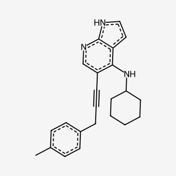 Cc1ccc(CC#Cc2cnc3[nH]ccc3c2NC2CCCCC2)cc1